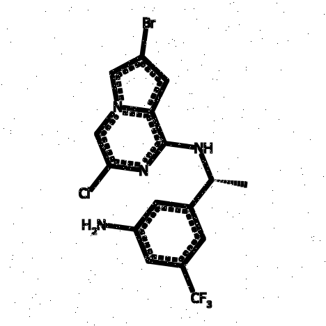 C[C@@H](Nc1nc(Cl)cn2cc(Br)cc12)c1cc(N)cc(C(F)(F)F)c1